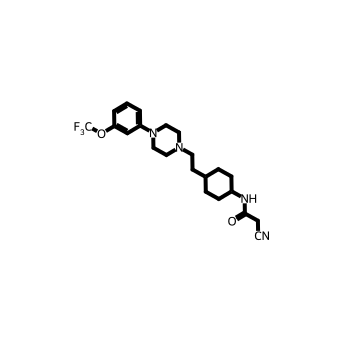 N#CCC(=O)NC1CCC(CCN2CCN(c3cccc(OC(F)(F)F)c3)CC2)CC1